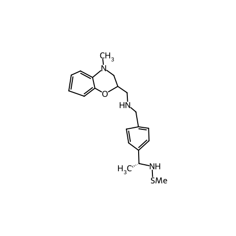 CSN[C@H](C)c1ccc(CNCC2CN(C)c3ccccc3O2)cc1